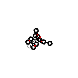 c1ccc(-c2ccc(N(c3ccc(-c4ccccc4)cc3)c3cccc4c3[Si](c3ccccc3)(c3ccccc3)c3ccccc3C43c4ccccc4Oc4ccccc43)cc2)cc1